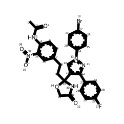 CC(=O)Nc1ccc(CCC2(c3cn(-c4ccc(Br)cc4)nc3-c3ccc(F)cc3)NC(=O)CO2)cc1[N+](=O)[O-]